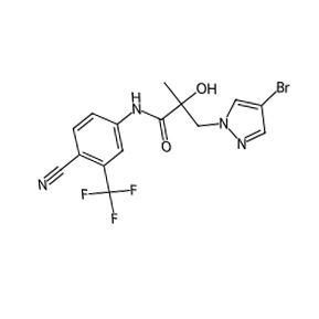 CC(O)(Cn1cc(Br)cn1)C(=O)Nc1ccc(C#N)c(C(F)(F)F)c1